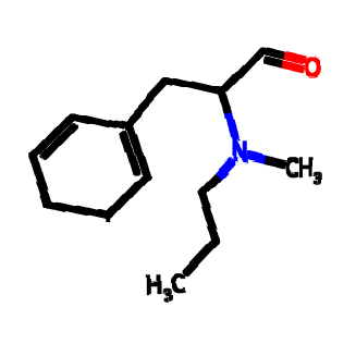 CCCN(C)C(C=O)CC1=C[CH]CC=C1